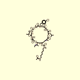 C/C=C(\C)[C@H]1OC(=O)C(C)(C)NC(=O)[C@H](C(C)CC)NC(=O)CN(C)C(=O)[C@@H](Cc2ccc(Cl)cc2)N(C)C(=O)[C@H](C)NC(=O)[C@@H](CC(C)C)OC(=O)/C(C)=C/C[C@H](OC(=O)N(C)CCCCCCN(C)C(C)=O)[C@@H]1C